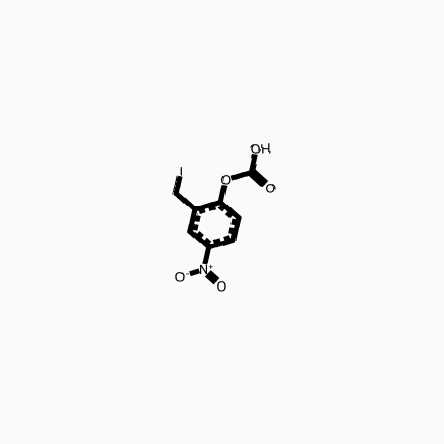 O=C(O)Oc1ccc([N+](=O)[O-])cc1CI